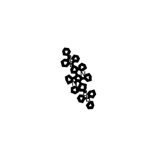 c1ccc(B2c3ccccc3B(c3ccc(-c4c5c6ccccc6n(-c6ccccc6)c5c(-c5ccc(B6c7ccccc7B(c7ccccc7)c7ccccc76)cc5)c5c6ccccc6n(-c6ccccc6)c45)cc3)c3ccccc32)cc1